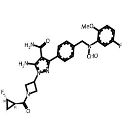 COc1ccc(F)cc1N(C=O)Cc1ccc(-c2nn(C3CN(C(=O)[C@H]4C[C@@H]4F)C3)c(N)c2C(N)=O)cc1